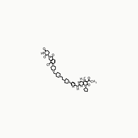 CC(=O)c1c(C)c2cnc(Nc3ccc(N4CCC(CCN5CCC(CN6CCN(c7ccc8c(c7Cl)CN(C7CCC(=O)NC7=O)C8=O)CC6)CC5)CC4)cn3)nc2n(C2CCCC2)c1=O